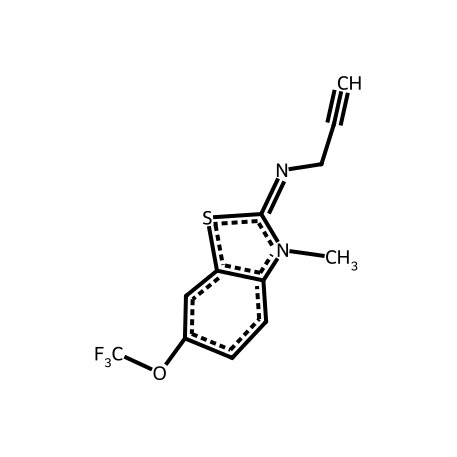 C#CCN=c1sc2cc(OC(F)(F)F)ccc2n1C